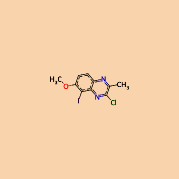 COc1ccc2nc(C)c(Cl)nc2c1I